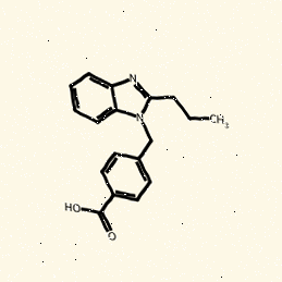 CCCc1nc2ccccc2n1Cc1ccc(C(=O)O)cc1